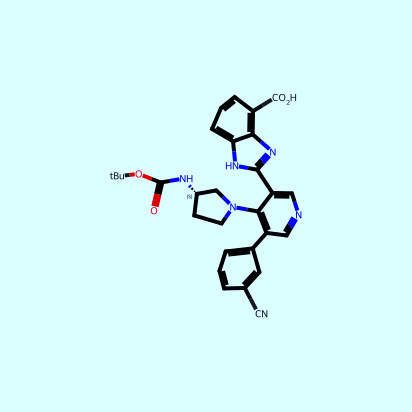 CC(C)(C)OC(=O)N[C@H]1CCN(c2c(-c3cccc(C#N)c3)cncc2-c2nc3c(C(=O)O)cccc3[nH]2)C1